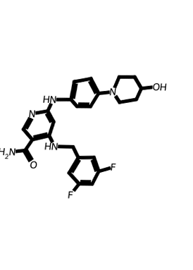 NC(=O)c1cnc(Nc2ccc(N3CCC(O)CC3)cc2)cc1NCc1cc(F)cc(F)c1